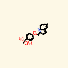 CC(O)(O)c1ccc(OCc2ccc3ccccc3n2)cc1